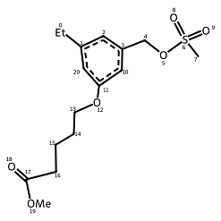 CCc1cc(COS(C)(=O)=O)cc(OCCCCC(=O)OC)c1